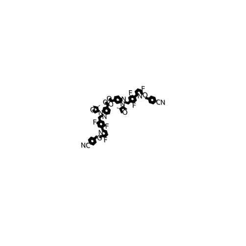 C[C@H]1COC[C@H]1n1c(Cc2cc(F)c(-c3ccc(F)c(OCc4ccc(C#N)cc4)n3)cc2F)nc2ccc(C(=O)OC(=O)c3ccc4nc(Cc5cc(F)c(-c6ccc(F)c(OCc7ccc(C#N)cc7)n6)cc5F)n([C@@H]5COC[C@@H]5C)c4c3)cc21